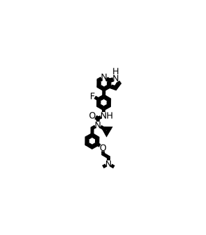 CN(C)CCOc1cccc(CN(C(=O)Nc2ccc(-c3ccnc4[nH]ccc34)c(F)c2)C2CC2)c1